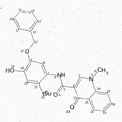 Cn1cc(C(=O)Nc2cc(OCc3ccccc3)c(O)cc2C(C)(C)C)c(=O)c2ccccc21